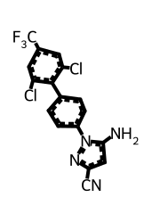 N#Cc1cc(N)n(-c2ccc(-c3c(Cl)cc(C(F)(F)F)cc3Cl)cc2)n1